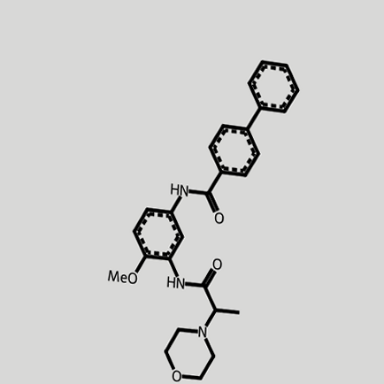 COc1ccc(NC(=O)c2ccc(-c3ccccc3)cc2)cc1NC(=O)C(C)N1CCOCC1